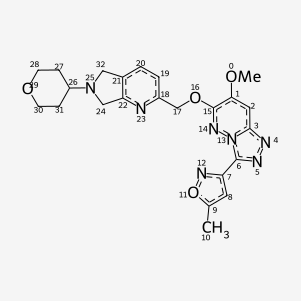 COc1cc2nnc(-c3cc(C)on3)n2nc1OCc1ccc2c(n1)CN(C1CCOCC1)C2